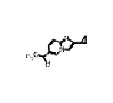 CC(Cl)c1ccc2nc(C3CC3)cn2c1